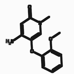 Bc1cc(=O)n(C)cc1Oc1ccccc1OC